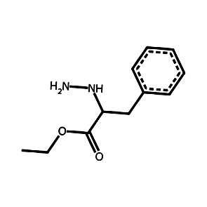 CCOC(=O)C(Cc1ccccc1)NN